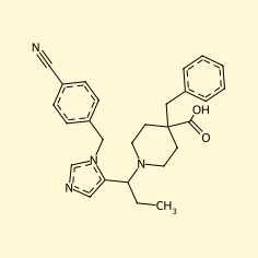 CCC(c1cncn1Cc1ccc(C#N)cc1)N1CCC(Cc2ccccc2)(C(=O)O)CC1